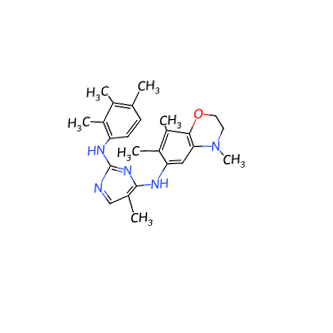 Cc1cnc(Nc2ccc(C)c(C)c2C)nc1Nc1cc2c(c(C)c1C)OCCN2C